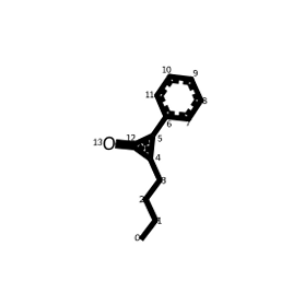 CCCCc1c(-c2ccccc2)c1=O